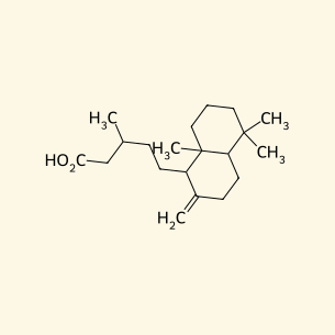 C=C1CCC2C(C)(C)CCCC2(C)C1CCC(C)CC(=O)O